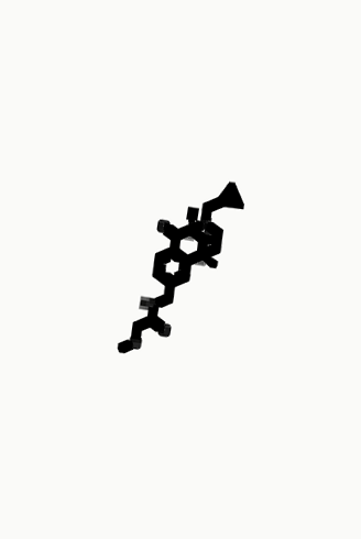 COCC(=O)NCc1ccc2c(c1)[C@@]1(C)CCN(CC3CC3)[C@H](C2=O)[C@@H]1C